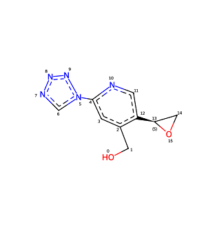 OCc1cc(-n2cnnn2)ncc1[C@H]1CO1